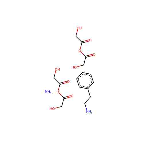 N.NCCc1ccccc1.O=C(CO)OC(=O)CO.O=C(CO)OC(=O)CO